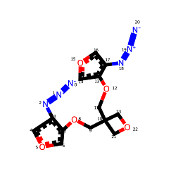 [N-]=[N+]=Nc1cocc1OCC1(COc2cocc2N=[N+]=[N-])COC1